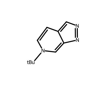 CC(C)(C)n1ccc2cnnc-2c1